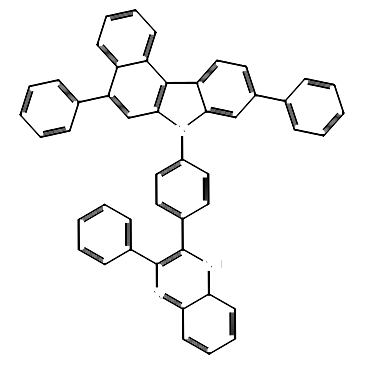 C1=CC2=NC(c3ccccc3)=C(c3ccc(-n4c5cc(-c6ccccc6)ccc5c5c6ccccc6c(-c6ccccc6)cc54)cc3)NC2C=C1